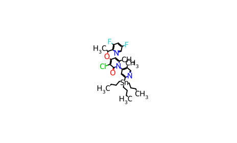 CCC[CH2][Sn]([CH2]CCC)([CH2]CCC)[c]1cc(-n2c(C)cc(OC(C)c3ncc(F)cc3F)c(Cl)c2=O)c(C)cn1